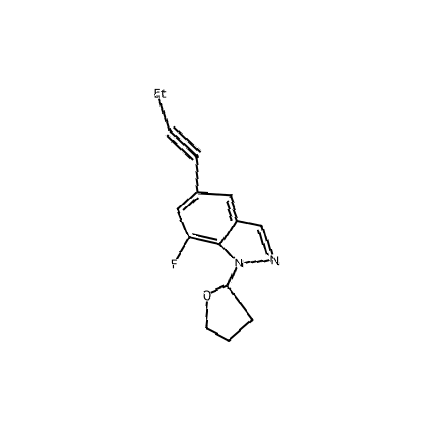 CCC#Cc1cc(F)c2c(cnn2C2CCCO2)c1